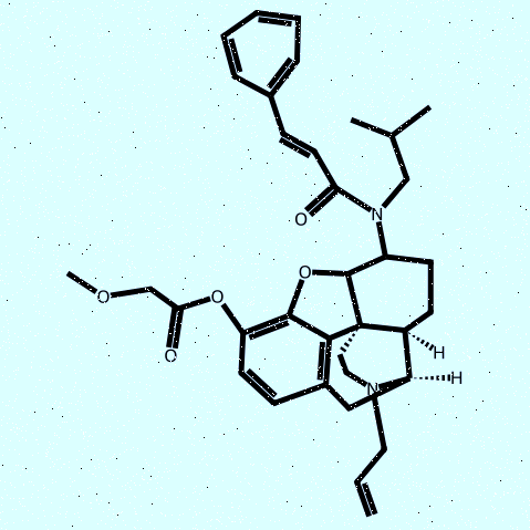 C=CCN1CC[C@]23c4c5ccc(OC(=O)COC)c4OC2C(N(CC(C)C)C(=O)/C=C/c2ccccc2)CC[C@H]3[C@H]1C5